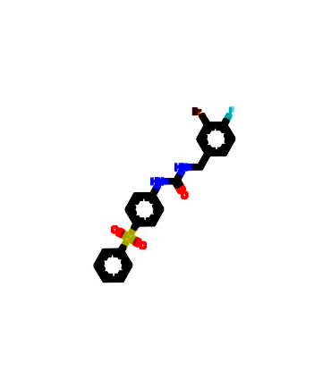 O=C(NCc1ccc(F)c(Br)c1)Nc1ccc(S(=O)(=O)c2ccccc2)cc1